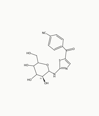 N#Cc1ccc(C(=O)c2cnc(NC3OC(CO)C(O)C(O)[C@@H]3O)s2)cc1